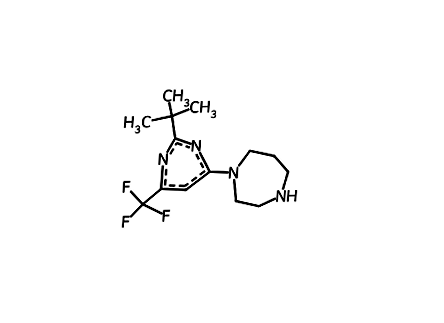 CC(C)(C)c1nc(N2CCCNCC2)cc(C(F)(F)F)n1